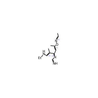 C/C=N/O/C(C)=C/C(=N/C=N)C(/C)=C/NCC